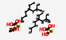 CCCCC(CC)CC(C)C.CCCCC(CC)CC(C)C.OP(O)(O)=S.OP(O)(O)=S.[Zn]